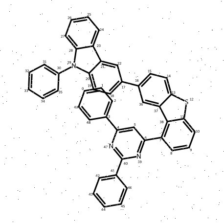 c1ccc(-c2cc(-c3cccc4sc5ccc(-c6ccc7c(c6)c6ccccc6n7-c6ccccc6)cc5c34)nc(-c3ccccc3)n2)cc1